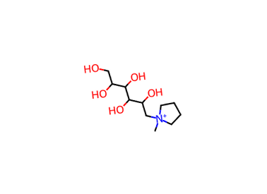 C[N+]1(CC(O)C(O)C(O)C(O)CO)CCCC1